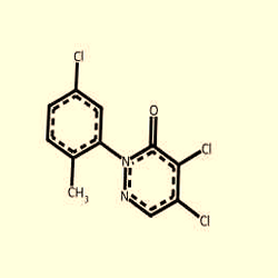 Cc1ccc(Cl)cc1-n1ncc(Cl)c(Cl)c1=O